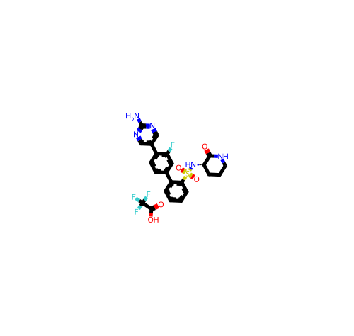 Nc1ncc(-c2ccc(-c3ccccc3S(=O)(=O)N[C@H]3CCCNC3=O)cc2F)cn1.O=C(O)C(F)(F)F